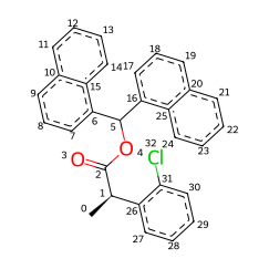 C[C@@H](C(=O)OC(c1cccc2ccccc12)c1cccc2ccccc12)c1ccccc1Cl